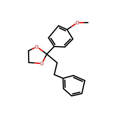 COc1ccc(C2(CCc3ccccc3)OCCO2)cc1